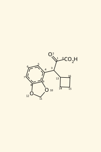 O=C(O)C(=O)C(c1cccc2c1OCO2)C1CCC1